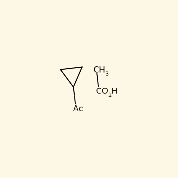 CC(=O)C1CC1.CC(=O)O